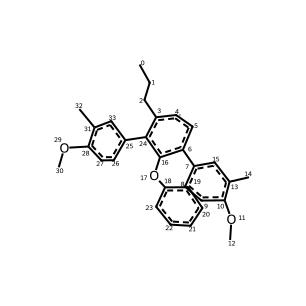 CCCc1[c]cc(-c2ccc(OC)c(C)c2)c(Oc2ccccc2)c1-c1ccc(OC)c(C)c1